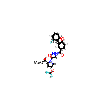 COC(=O)[C@@H]1C[C@@H](OC(F)F)CN1C(=O)CNC(=O)c1ccc2oc3cccc(F)c3c2c1